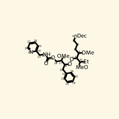 CCCCCCCCCCCCCC(OC)C(OOC(Cc1ccccc1)C(COC(=O)NCc1ccccn1)OC)C(CC)OC